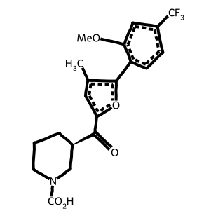 COc1cc(C(F)(F)F)ccc1-c1oc(C(=O)[C@@H]2CCCN(C(=O)O)C2)cc1C